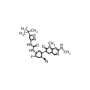 CNc1ncc2cc(-c3cc(NC(=O)Nc4cc(C(C)(C)C)on4)c(F)cc3C#N)c(=O)n(C)c2n1